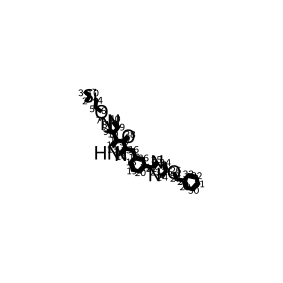 C[Si](C)(C)CCOCn1cc(-c2c[nH]nc(Cc3cccc(-c4ncc(OCc5ccccc5)cn4)c3)c2=O)cn1